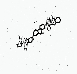 CC1(C)c2cc(NC(=O)C3CC4CCCC[C@@H]4N3)ccc2-c2ccc(-c3ccc4[nH]c([C@@H]5CCCN5)nc4c3)cc21